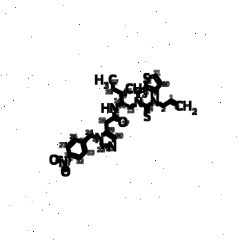 C=CCNC(=S)N(Cc1cccs1)C[C@@H](NC(=O)Cc1cncn1Cc1ccc([N+](=O)[O-])cc1)[C@@H](C)CC